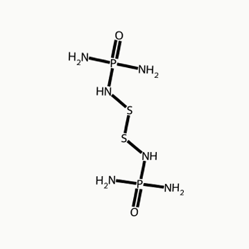 NP(N)(=O)NSSNP(N)(N)=O